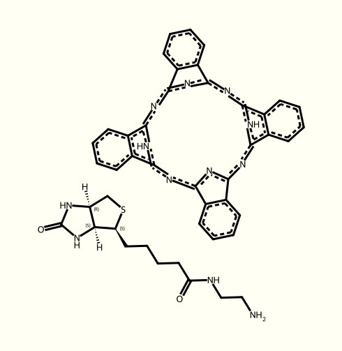 NCCNC(=O)CCCC[C@@H]1SC[C@@H]2NC(=O)N[C@@H]21.c1ccc2c(c1)-c1nc-2nc2[nH]c(nc3nc(nc4[nH]c(n1)c1ccccc41)-c1ccccc1-3)c1ccccc21